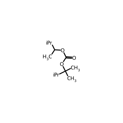 CC(C)C(C)OC(=O)OC(C)(C)C(C)C